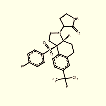 O=C1NCCC1N1CC[C@@]2(S(=O)(=O)c3ccc(F)cc3)c3ccc(C(F)(C(F)(F)F)C(F)(F)F)cc3CC[C@@H]12